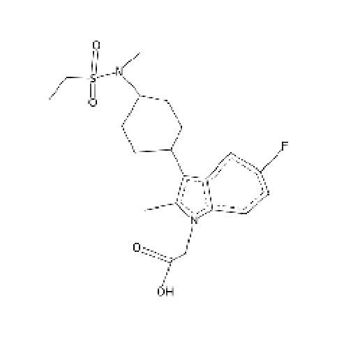 CCS(=O)(=O)N(C)C1CCC(c2c(C)n(CC(=O)O)c3ccc(F)cc23)CC1